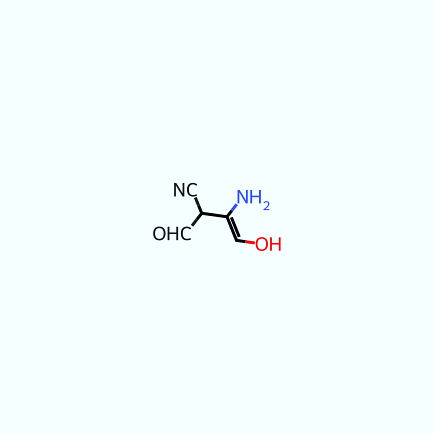 N#CC(C=O)C(N)=CO